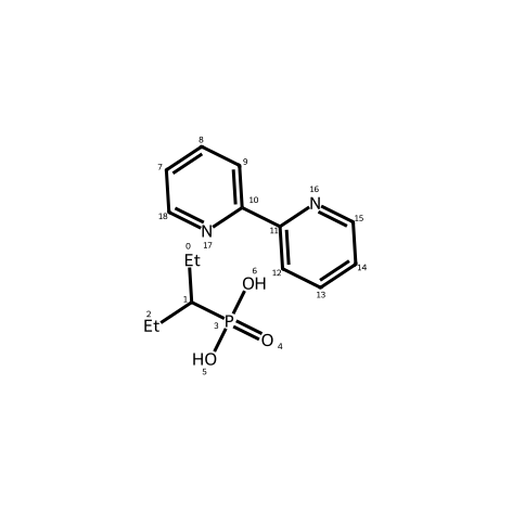 CCC(CC)P(=O)(O)O.c1ccc(-c2ccccn2)nc1